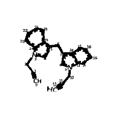 C#CCn1cc(Cc2cn(CC#C)c3ccccc23)c2ccccc21